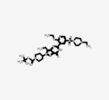 CCOc1ncc(S(=O)(=O)N2CCN(CC)CC2)cc1-c1nc2c(CC)n(C3CCN(C(=O)OC(C)(C)C)CC3)nc2c(=O)[nH]1